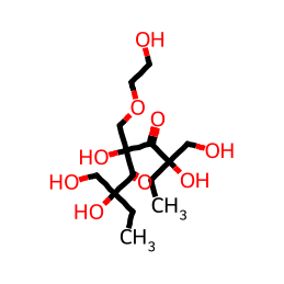 CCC(O)(CO)C(=O)C(O)(COCCO)C(=O)C(O)(CC)CO